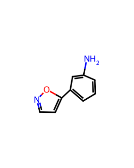 Nc1cccc(-c2ccno2)c1